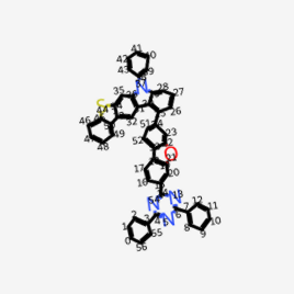 c1ccc(-c2nc(-c3ccccc3)nc(-c3ccc4c(c3)oc3cc(-c5cccc6c5c5cc7c(cc5n6-c5ccccc5)sc5ccccc57)ccc34)n2)cc1